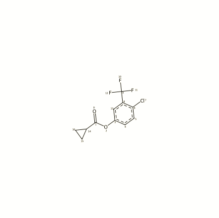 O=C(Oc1ccc(Cl)c(C(F)(F)F)c1)C1CC1